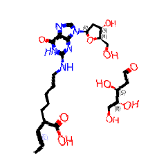 C/C=C/C(CCCCCNc1nc2c(ncn2[C@H]2C[C@H](O)[C@@H](CO)O2)c(=O)[nH]1)C(=O)O.O=CC[C@H](O)[C@H](O)CO